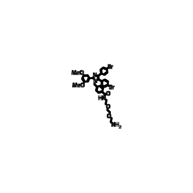 COc1cc(OC)cc(-c2nc(-c3ccc(Br)cc3)c(-c3ccc(Br)cc3)n2Cc2ccc(C(=O)NCCOCCOCCN)cc2)c1